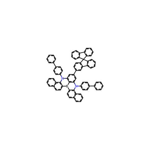 c1ccc(-c2ccc(N3c4cc(-c5ccc6c(c5)-c5ccccc5C65c6ccccc6-c6ccccc65)cc5c4B(c4ccc6ccccc6c43)c3ccc4ccccc4c3N5c3ccc(-c4ccccc4)cc3)cc2)cc1